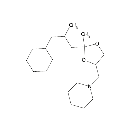 CC(CC1CCCCC1)CC1(C)OCC(CN2CCCCC2)O1